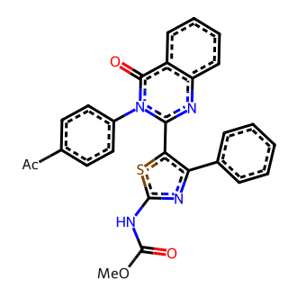 COC(=O)Nc1nc(-c2ccccc2)c(-c2nc3ccccc3c(=O)n2-c2ccc(C(C)=O)cc2)s1